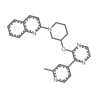 Cc1cc(-c2nccnc2OC2CCCN(c3ccc4ccccc4n3)C2)ccn1